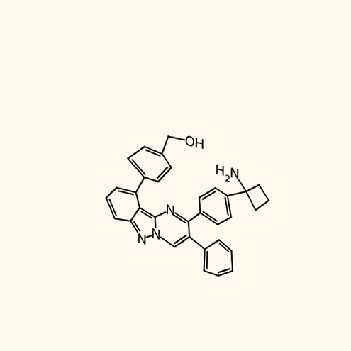 NC1(c2ccc(-c3nc4c5c(-c6ccc(CO)cc6)cccc5nn4cc3-c3ccccc3)cc2)CCC1